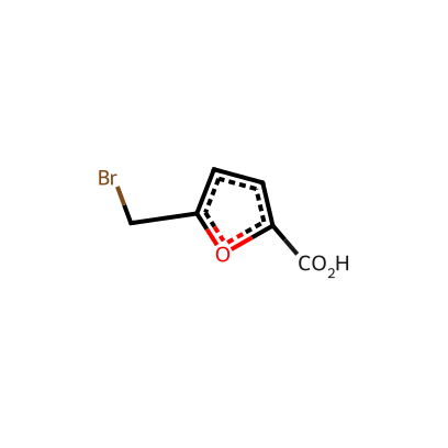 O=C(O)c1ccc(CBr)o1